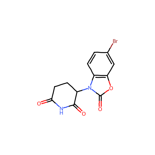 O=C1CCC(n2c(=O)oc3cc(Br)ccc32)C(=O)N1